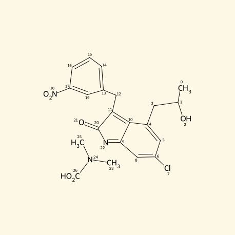 CC(O)Cc1cc(Cl)cc2c1=C(Cc1cccc([N+](=O)[O-])c1)C(=O)N=2.CN(C)C(=O)O